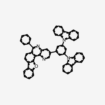 c1ccc(-c2nc3cc(-c4cc(-n5c6ccccc6c6ccccc65)cc(-n5c6ccccc6c6ccccc65)c4)cnc3c3c2ccc2c4ccccc4oc23)cc1